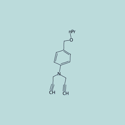 C#CCN(CC#C)c1ccc(COCCC)cc1